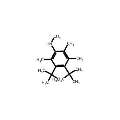 CNc1c(C)c(C)c(C(C)(C)C)c(C(C)(C)C)c1C